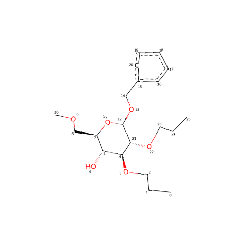 CCCO[C@H]1[C@H](O)[C@@H](COC)OC(OCc2ccccc2)[C@@H]1OCCC